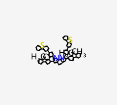 CC1(C)c2ccccc2-c2ccc(-c3cc4ccc5cc(-c6ccc7c(c6)C(C)(C)c6ccccc6-7)c(-c6ccc(-c7ccc8sc9ccccc9c8c7)cc6)nc5c4nc3-c3ccc(-c4ccc5sc6ccccc6c5c4)cc3)cc21